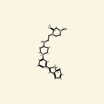 CC(C)N1CCN(CCNC2CCN(c3cccc(-c4cc5ccccc5[nH]4)c3)CC2)C(=O)C1